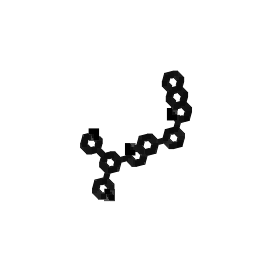 c1cncc(-c2cc(-c3cccnc3)cc(-c3ccc4cc(-c5cccc(-c6ccc7cc8ccccc8cc7n6)c5)ccc4n3)c2)c1